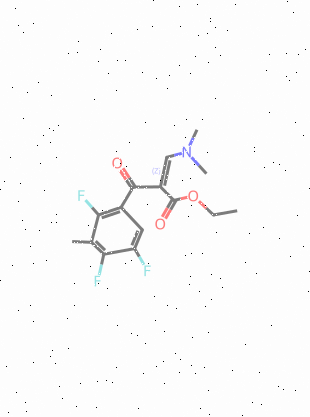 CCOC(=O)/C(=C\N(C)C)C(=O)c1cc(F)c(F)c(C)c1F